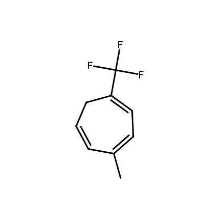 CC1=CC=C(C(F)(F)F)CC=C1